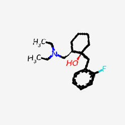 CCN(CC)C[C@H]1CCCC[C@]1(O)Cc1ccccc1F